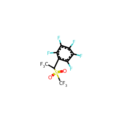 O=S(=O)(C(c1c(F)c(F)c(F)c(F)c1F)C(F)(F)F)C(F)(F)F